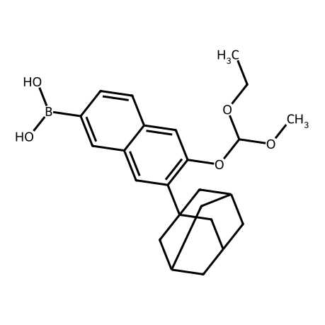 CCOC(OC)Oc1cc2ccc(B(O)O)cc2cc1C12CC3CC(CC(C3)C1)C2